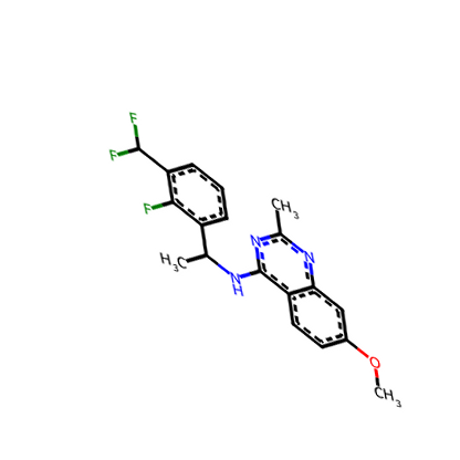 COc1ccc2c(NC(C)c3cccc(C(F)F)c3F)nc(C)nc2c1